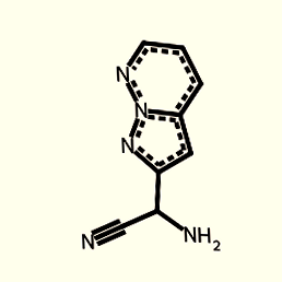 N#CC(N)c1cc2cccnn2n1